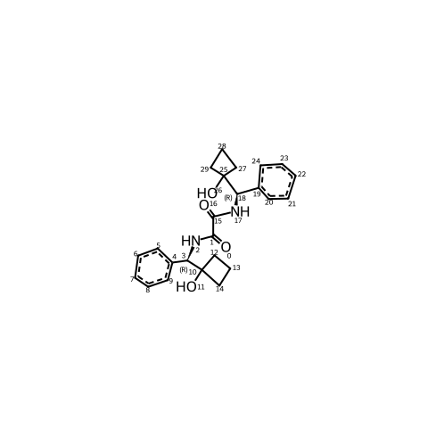 O=C(N[C@H](c1ccccc1)C1(O)CCC1)C(=O)N[C@H](c1ccccc1)C1(O)CCC1